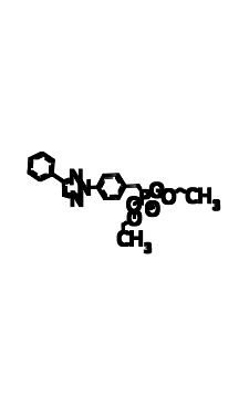 CCOOP(=O)(Cc1ccc(-n2ncc(-c3ccccc3)n2)cc1)OOCC